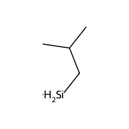 CC(C)C[SiH2]